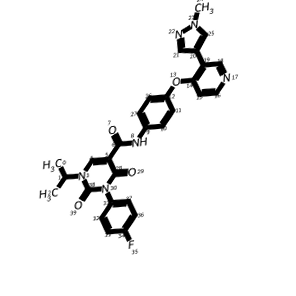 CC(C)n1cc(C(=O)Nc2ccc(Oc3ccncc3-c3cnn(C)c3)cc2)c(=O)n(-c2ccc(F)cc2)c1=O